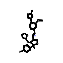 COc1cc(/C=C/C2=NOC(C)(c3ccc(F)cc3)N2CC2CCCO2)ccc1-n1cnc(C)c1